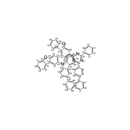 c1ccc(-c2ccc(-c3nc(-c4ccccc4)nc(-c4cc(-c5cc6oc7ccccc7c6cc5-n5c6ccccc6c6cc(-c7ccccc7)ccc65)c5c(c4)oc4ccccc45)n3)cc2)cc1